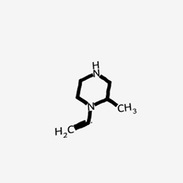 C=[C]N1CCNCC1C